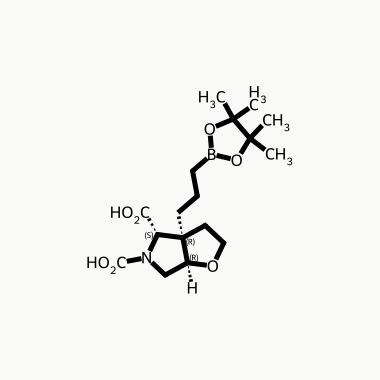 CC1(C)OB(CCC[C@]23CCO[C@H]2CN(C(=O)O)[C@@H]3C(=O)O)OC1(C)C